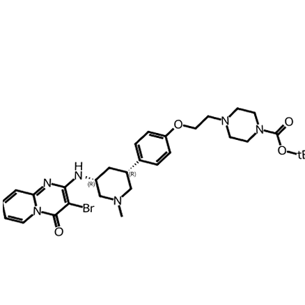 CN1C[C@H](Nc2nc3ccccn3c(=O)c2Br)C[C@H](c2ccc(OCCN3CCN(C(=O)OC(C)(C)C)CC3)cc2)C1